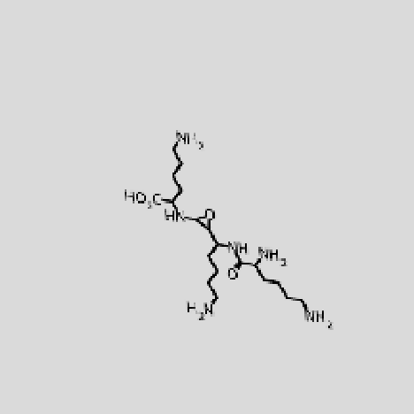 NCCCCC(N)C(=O)NC(CCCCN)C1OC1NC(CCCCN)C(=O)O